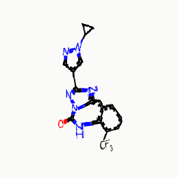 O=c1[nH]c2c(C(F)(F)F)cccc2c2nc(-c3cnn(C4CC4)c3)nn12